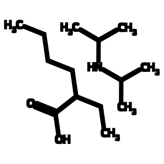 CC(C)NC(C)C.CCCCC(CC)C(=O)O